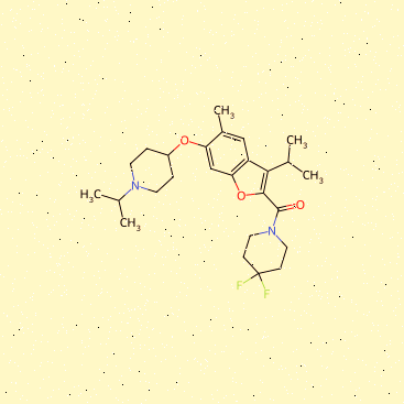 Cc1cc2c(C(C)C)c(C(=O)N3CCC(F)(F)CC3)oc2cc1OC1CCN(C(C)C)CC1